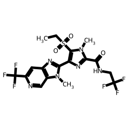 CCS(=O)(=O)c1c(-c2nc3cc(C(F)(F)F)ncc3n2C)nc(C(=O)NCC(F)(F)F)n1C